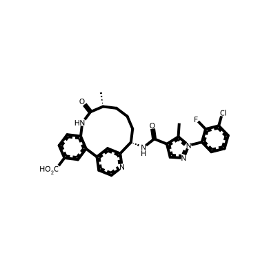 Cc1c(C(=O)N[C@H]2CCC[C@@H](C)C(=O)Nc3ccc(C(=O)O)cc3-c3ccnc2c3)cnn1-c1cccc(Cl)c1F